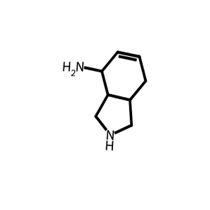 NC1C=CCC2CNCC12